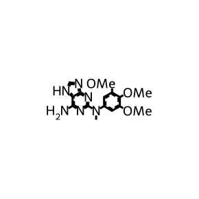 COc1cc(N(C)c2nc(N)c3[nH]cnc3n2)cc(OC)c1OC